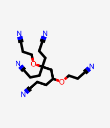 N#CCCOC(CCC#N)CC(CCC#N)(CCC#N)OCCC#N